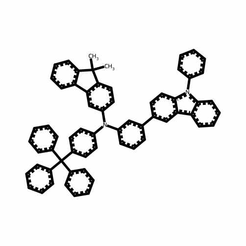 CC1(C)c2ccccc2-c2cc(N(c3ccc(C(c4ccccc4)(c4ccccc4)c4ccccc4)cc3)c3cccc(-c4ccc5c(c4)c4ccccc4n5-c4ccccc4)c3)ccc21